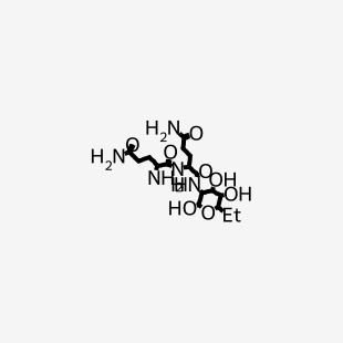 CCC1OC(O)C(NC(=O)C(CCC(N)=O)NC(=O)C(N)CCC(N)=O)C(O)C1O